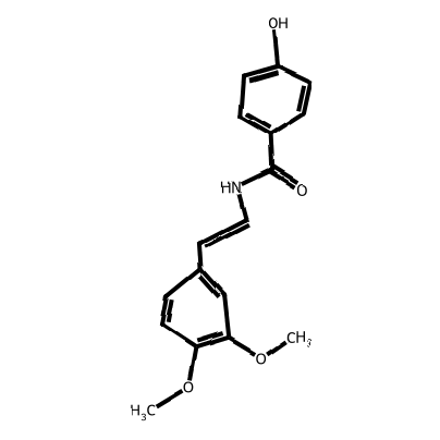 COc1ccc(C=CNC(=O)c2ccc(O)cc2)cc1OC